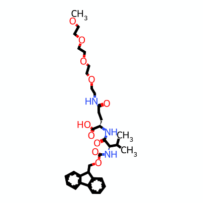 COCCOCCOCCOCCNC(=O)CC[C@H](NC(=O)[C@@H](NC(=O)OCC1c2ccccc2-c2ccccc21)C(C)C)C(=O)O